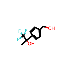 CC(O)(c1ccc(CO)cc1)C(F)(F)F